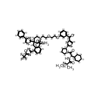 CN[C@@H](C)C(=O)N[C@H](C(=O)N1CCC[C@H]1c1nc(C(=O)c2cccc(OCCOCCN3CCC(Cc4c(C(N)=O)cccc4-c4noc(C(F)(F)F)n4)(c4nc(-c5ccccc5)cs4)CC3)c2)cs1)C1CCCCC1